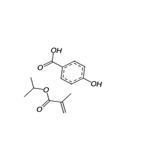 C=C(C)C(=O)OC(C)C.O=C(O)c1ccc(O)cc1